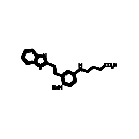 O=C(O)CCCNc1cccc(C=Cc2nc3ccccc3s2)c1.[NaH]